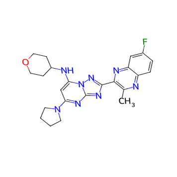 Cc1nc2ccc(F)cc2nc1-c1nc2nc(N3CCCC3)cc(NC3CCOCC3)n2n1